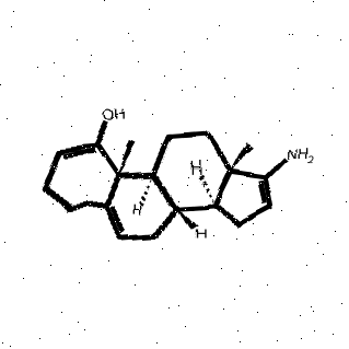 C[C@]12C(O)=CCCC1=CC[C@@H]1[C@@H]2CC[C@]2(C)C(N)=CC[C@@H]12